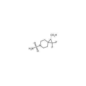 NS(=O)(=O)N1CCC2(CC1)[C@H](C(=O)O)C2(F)F